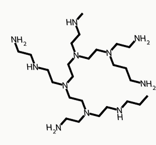 CCCNCCN(CCN)CCN(CCNCCN)CCN(CCNC)CCN(CCN)CCCN